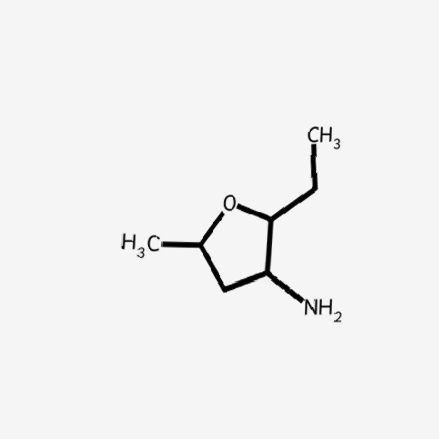 CCC1OC(C)CC1N